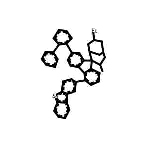 CCC1CC2CC(C)C3(c4cc(-c5ccccc5-c5ccccc5)ccc4-c4c(-c5ccc6sc7ccccc7c6c5)cccc43)C(C1)C2